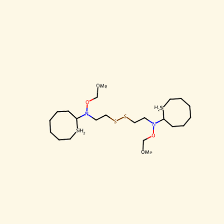 COCON(CCSSCCN(OCOC)C1CCCCCC[SiH2]1)C1CCCCCC[SiH2]1